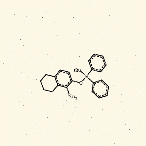 CC(C)(C)[Si](Oc1ccc2c(c1N)CCCC2)(c1ccccc1)c1ccccc1